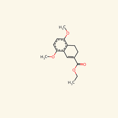 CCOC(=O)C1=Cc2c(OC)ccc(OC)c2CC1